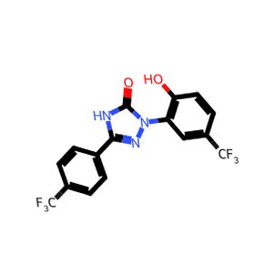 O=c1[nH]c(-c2ccc(C(F)(F)F)cc2)nn1-c1cc(C(F)(F)F)ccc1O